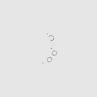 O=C1c2cc(-c3ccc(OC(F)(F)F)cc3)ccc2OCCN1Cc1cccc(C(F)(F)F)n1